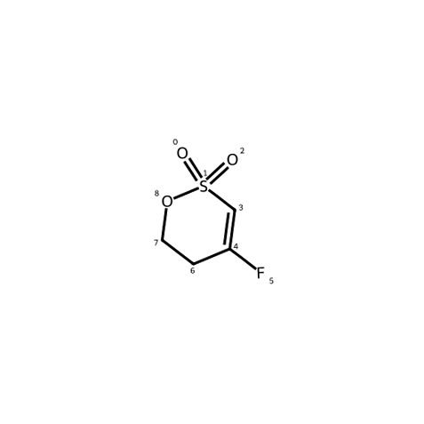 O=S1(=O)C=C(F)CCO1